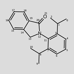 CC(C)c1cccc(C(C)C)c1N1Cc2ccccc2C1=O